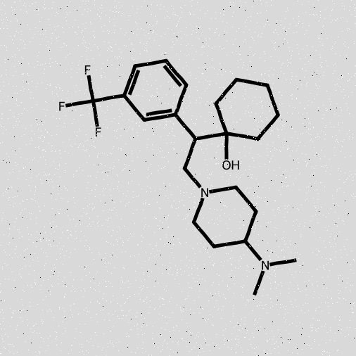 CN(C)C1CCN(CC(c2cccc(C(F)(F)F)c2)C2(O)CCCCC2)CC1